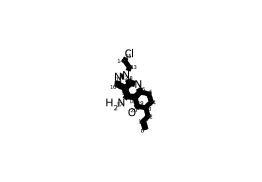 C=CCC1CCc2nc3c(cnn3CCCl)c(N)c2C1=O